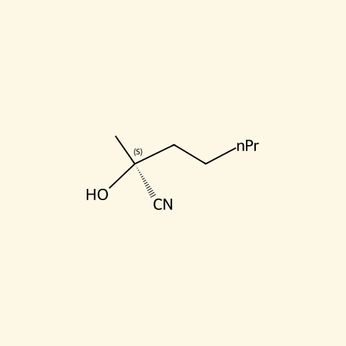 CCCCC[C@](C)(O)C#N